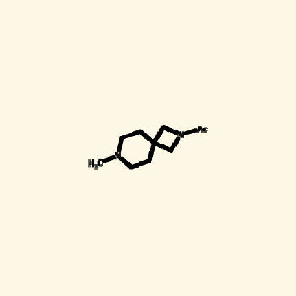 CC(=O)N1CC2(CCN(C)CC2)C1